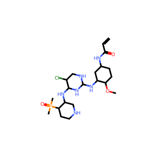 C=CC(=O)NC1CCC(OC)C(NC2NCC(Cl)C(NC3CNCCC3P(C)(C)=O)N2)C1